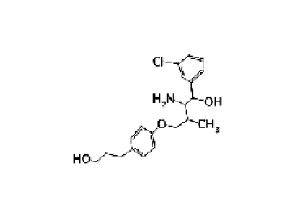 CC(COc1ccc(CCCO)cc1)C(N)C(O)c1cccc(Cl)c1